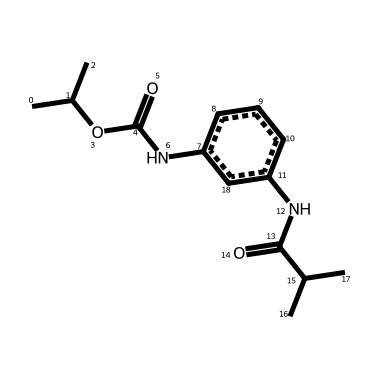 CC(C)OC(=O)Nc1cccc(NC(=O)C(C)C)c1